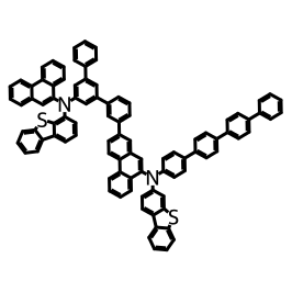 c1ccc(-c2ccc(-c3ccc(-c4ccc(N(c5ccc6c(c5)sc5ccccc56)c5cc6cc(-c7cccc(-c8cc(-c9ccccc9)cc(N(c9cc%10ccccc%10c%10ccccc9%10)c9cccc%10c9sc9ccccc9%10)c8)c7)ccc6c6ccccc56)cc4)cc3)cc2)cc1